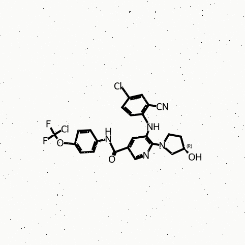 N#Cc1cc(Cl)ccc1Nc1cc(C(=O)Nc2ccc(OC(F)(F)Cl)cc2)cnc1N1CC[C@@H](O)C1